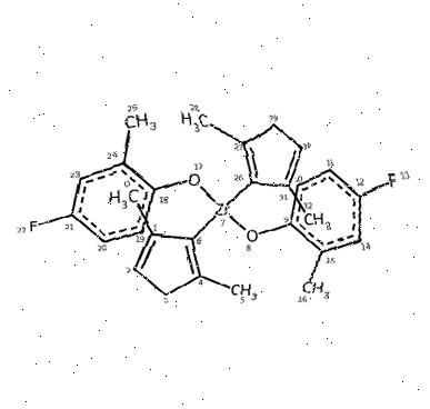 CC1=CCC(C)=[C]1[Zr]([O]c1ccc(F)cc1C)([O]c1ccc(F)cc1C)[C]1=C(C)CC=C1C